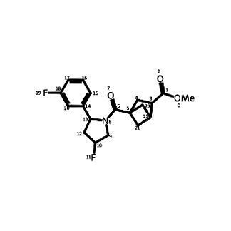 COC(=O)C1CC2(C(=O)N3CC(F)CC3c3cccc(F)c3)CC1C2